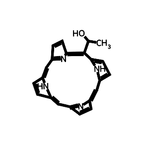 CC(O)c1c2nc(cc3ccc(cc4nc(cc5ccc1[nH]5)C=C4)[nH]3)C=C2